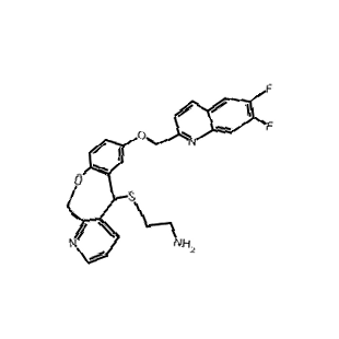 NCCSC1c2cc(OCc3ccc4cc(F)c(F)cc4n3)ccc2OCc2ncccc21